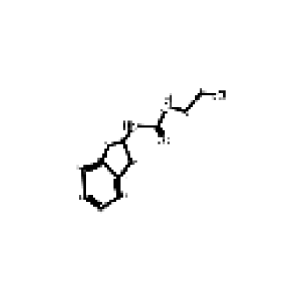 O=C(NCCCl)NC1Cc2ccccc2C1